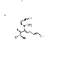 C#C/C=C\C(C)/C(=C\CCCC)C(I)[C@H](C)S